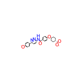 COc1ccc(-c2ccc(NC(=O)c3ccc(O[C@H]4CC[C@@H](C(=O)OC)CC4)cc3)nn2)cc1